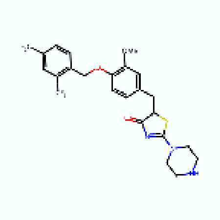 COc1cc(CC2SC(N3CCNCC3)=NC2=O)ccc1OCc1ccc(C(F)(F)F)cc1C(F)(F)F